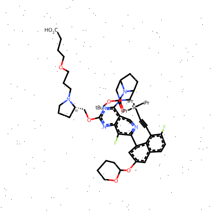 CC(C)[Si](C#Cc1c(F)ccc2cc(OC3CCCCO3)cc(-c3ncc4c(N5CC6CCC(C5)N6C(=O)OC(C)(C)C)nc(OC[C@@H]5CCCN5CCCOCCCC(=O)O)nc4c3F)c12)(C(C)C)C(C)C